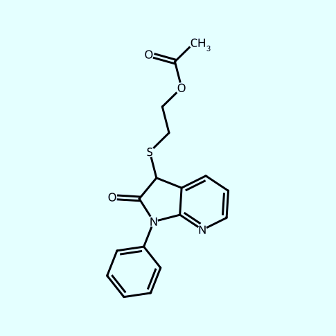 CC(=O)OCCSC1C(=O)N(c2ccccc2)c2ncccc21